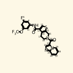 O=C(Nc1cc(F)cc(OC(F)(F)F)c1)c1csc2c1CCN(C(=O)c1cnc3ccccn13)C2